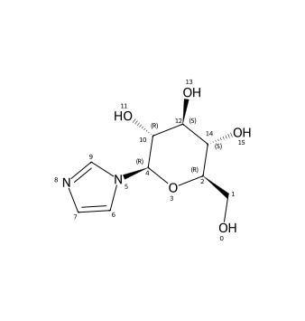 OC[C@H]1O[C@@H](n2ccnc2)[C@H](O)[C@@H](O)[C@@H]1O